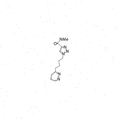 CNC(=O)c1cn(CCCCc2cccnn2)nn1